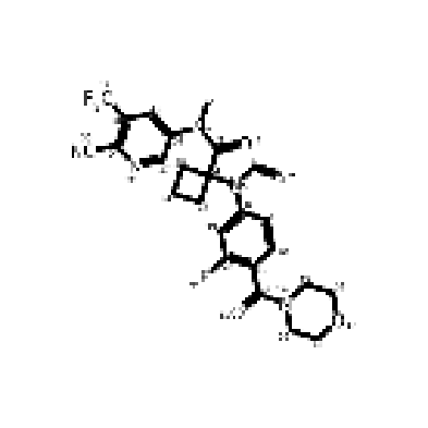 CN(C(=O)C1(N(C=S)c2ccc(C(=O)N3CCOCC3)c(F)c2)CCC1)c1cnc(C#N)c(C(F)(F)F)c1